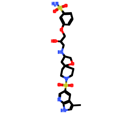 Cc1c[nH]c2ncc(S(=O)(=O)N3CCC4(CC3)CC(NCC(O)COc3cccc(S(N)(=O)=O)c3)CO4)cc12